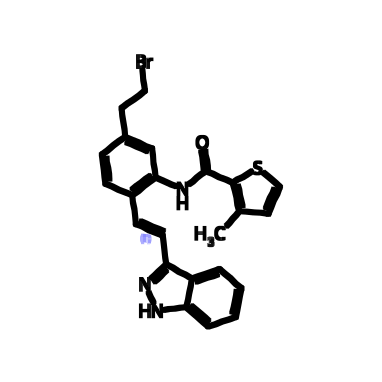 Cc1ccsc1C(=O)Nc1cc(CCBr)ccc1/C=C/c1n[nH]c2ccccc12